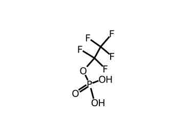 O=P(O)(O)OC(F)(F)C(F)(F)F